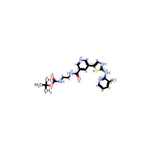 CC(C)(C)OC(=O)NCCNC(=O)c1cncc(-c2cnc(Nc3ncccc3Cl)s2)c1